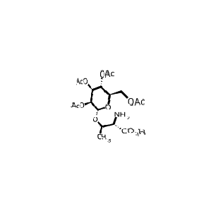 CC(=O)OC[C@H]1O[C@H](OC(C)[C@H](N)C(=O)O)[C@@H](OC(C)=O)[C@@H](OC(C)=O)[C@@H]1OC(C)=O